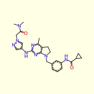 Cc1nc(Nc2cnn(CC(=O)N(C)C)c2)nc2c1CCN2Cc1cccc(NC(=O)C2CC2)c1